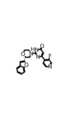 O=c1cc(-c2ccncc2F)nc(N2CCO[C@@H](c3cc4ccccc4o3)C2)[nH]1